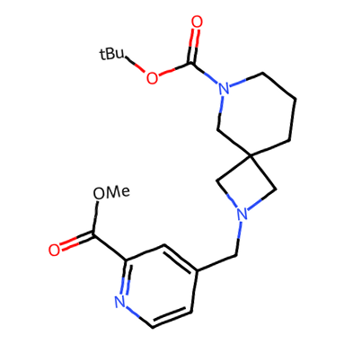 COC(=O)c1cc(CN2CC3(CCCN(C(=O)OC(C)(C)C)C3)C2)ccn1